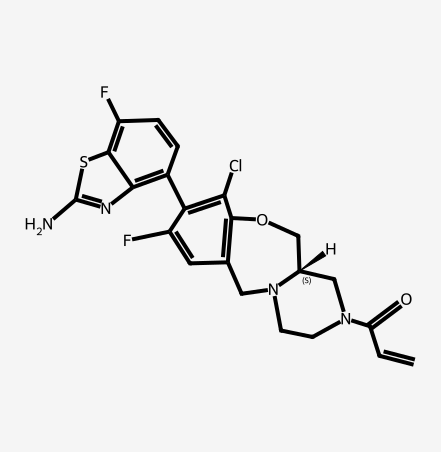 C=CC(=O)N1CCN2Cc3cc(F)c(-c4ccc(F)c5sc(N)nc45)c(Cl)c3OC[C@@H]2C1